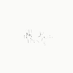 CCc1cc(Nc2cnn(C)n2)cc(CC)c1OC(C)=O